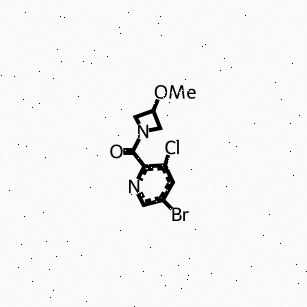 COC1CN(C(=O)c2ncc(Br)cc2Cl)C1